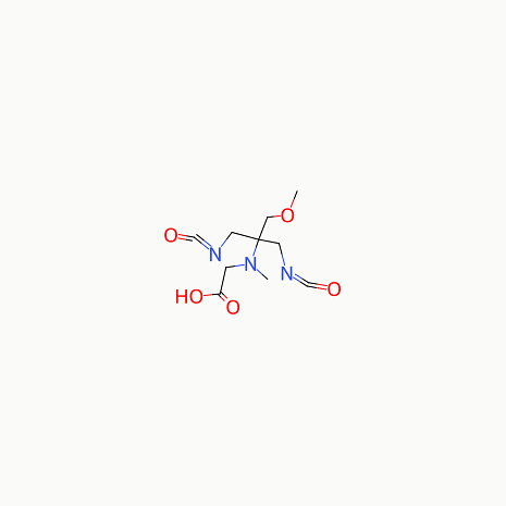 COCC(CN=C=O)(CN=C=O)N(C)CC(=O)O